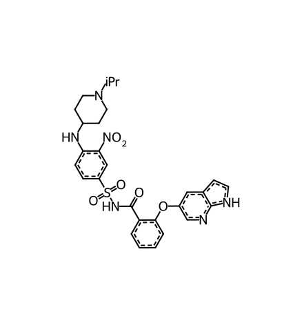 CC(C)N1CCC(Nc2ccc(S(=O)(=O)NC(=O)c3ccccc3Oc3cnc4[nH]ccc4c3)cc2[N+](=O)[O-])CC1